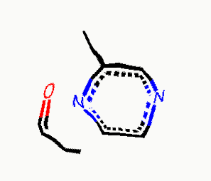 CC=O.Cc1cnccn1